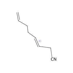 C=CCC/C=C/CC#N